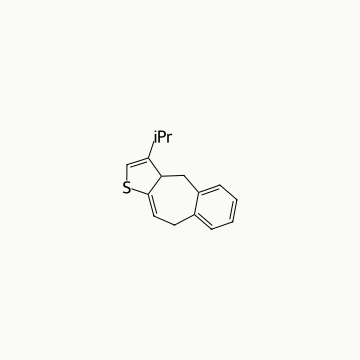 CC(C)C1=CSC2=CCc3ccccc3CC21